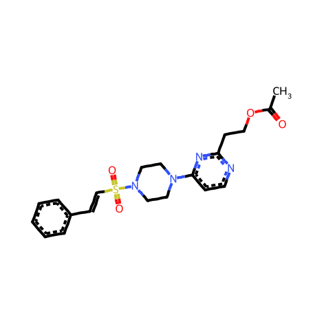 CC(=O)OCCc1nccc(N2CCN(S(=O)(=O)/C=C/c3ccccc3)CC2)n1